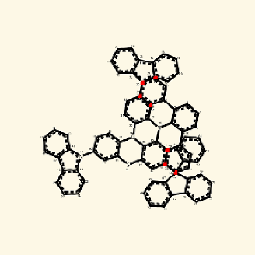 c1ccc(-c2cccc(-c3ccccc3)c2N2c3cc(-n4c5ccccc5c5ccccc54)ccc3B3c4ccc(-n5c6ccccc6c6ccccc65)cc4Sc4cc(C5(c6ccccc6)c6ccccc6-c6ccccc65)cc2c43)cc1